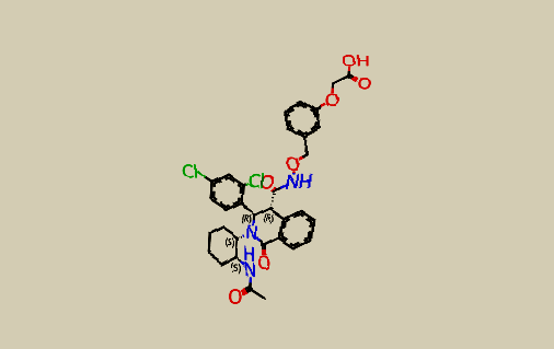 CC(=O)N[C@H]1CCCC[C@@H]1N1C(=O)c2ccccc2[C@@H](C(=O)NOCc2cccc(OCC(=O)O)c2)[C@@H]1c1ccc(Cl)cc1Cl